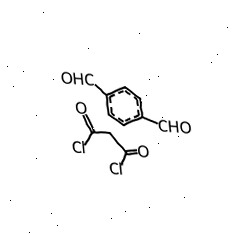 O=C(Cl)CC(=O)Cl.O=Cc1ccc(C=O)cc1